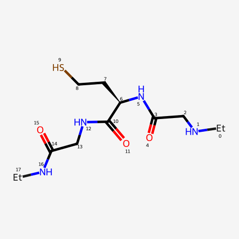 CCNCC(=O)N[C@H](CCS)C(=O)NCC(=O)NCC